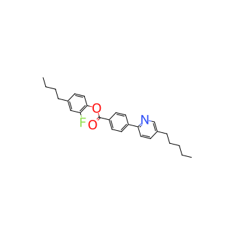 CCCCCc1ccc(-c2ccc(C(=O)Oc3ccc(CCCC)cc3F)cc2)nc1